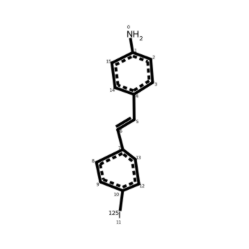 Nc1ccc(C=Cc2ccc([125I])cc2)cc1